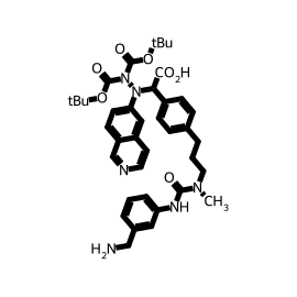 CN(CCCc1ccc(C(C(=O)O)N(c2ccc3cnccc3c2)N(C(=O)OC(C)(C)C)C(=O)OC(C)(C)C)cc1)C(=O)Nc1cccc(CN)c1